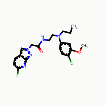 CCCN(CCNC(=O)Cn1cc2ccc(Cl)nc2n1)c1ccc(Cl)c(OC)c1